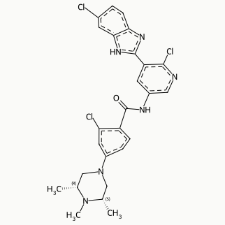 C[C@@H]1CN(c2ccc(C(=O)Nc3cnc(Cl)c(-c4nc5ccc(Cl)cc5[nH]4)c3)c(Cl)c2)C[C@H](C)N1C